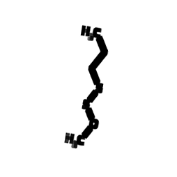 CCCSSOC